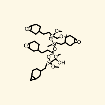 CO[Si](CO)(CCC1CCC2OC2C1)O[Si](C)(CCC1CCC2OC2C1)O[Si](CCC1CCC2OC2C1)(OC)O[Si](CO)(CCC1CCC2CC2C1)OC